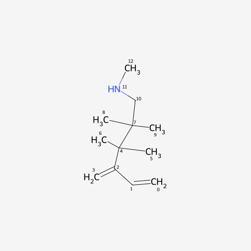 C=CC(=C)C(C)(C)C(C)(C)CNC